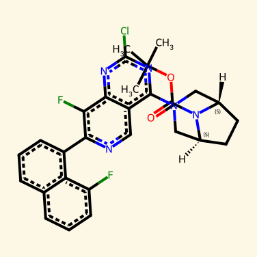 CC(C)(C)OC(=O)N1[C@H]2CC[C@H]1CN(c1nc(Cl)nc3c(F)c(-c4cccc5cccc(F)c45)ncc13)C2